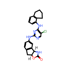 O=C1N[C@@H]2c3cc(Nc4ncc(Cl)c(Nc5cccc6c5CCCC6)n4)ccc3C[C@@H]2O1